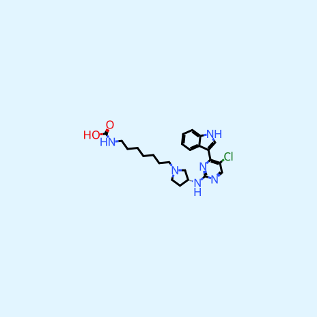 O=C(O)NCCCCCCCN1CC[C@@H](Nc2ncc(Cl)c(-c3c[nH]c4ccccc34)n2)C1